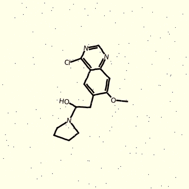 COc1cc2ncnc(Cl)c2cc1CC(O)N1CCCC1